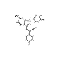 Cc1ccc(/C(C#N)=C/c2cn(Cc3ccc(C)nc3)c3cc(Cl)ccc23)cc1